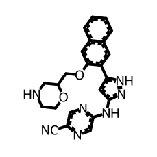 N#Cc1cnc(Nc2cc(-c3cc4ccccc4cc3OCC3CNCCO3)[nH]n2)cn1